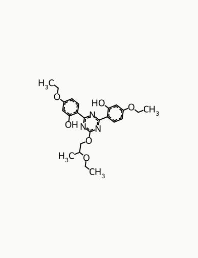 CCOc1ccc(-c2nc(OCC(C)OCC)nc(-c3ccc(OCC)cc3O)n2)c(O)c1